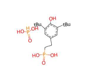 CC(C)(C)c1cc(CCP(=O)(O)O)cc(C(C)(C)C)c1O.O=[PH](O)O